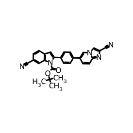 CC(C)(C)OC(=O)n1c(-c2ccc(-c3ccc4nc(C#N)cn4c3)cc2)cc2ccc(C#N)cc21